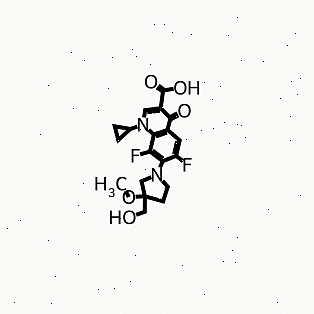 COC1(CO)CCN(c2c(F)cc3c(=O)c(C(=O)O)cn(C4CC4)c3c2F)C1